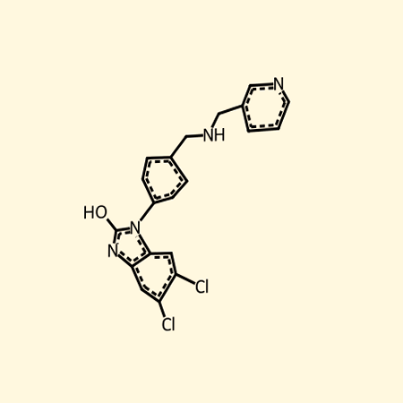 Oc1nc2cc(Cl)c(Cl)cc2n1-c1ccc(CNCc2cccnc2)cc1